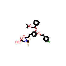 CC(C)OCC(Oc1cc(/C=C2\SC(=S)N(CC(=O)O)C2=O)ccc1OCCc1ccc(F)cc1)c1ccccc1